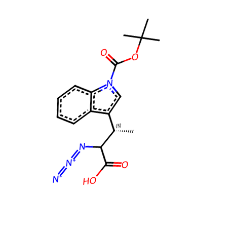 C[C@@H](c1cn(C(=O)OC(C)(C)C)c2ccccc12)C(N=[N+]=[N-])C(=O)O